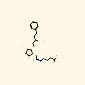 NC(=O)CCC/C=C\C[C@@H]1[C@@H](CCC(O)CCc2ccccc2)[C@H](O)C[C@@H]1O